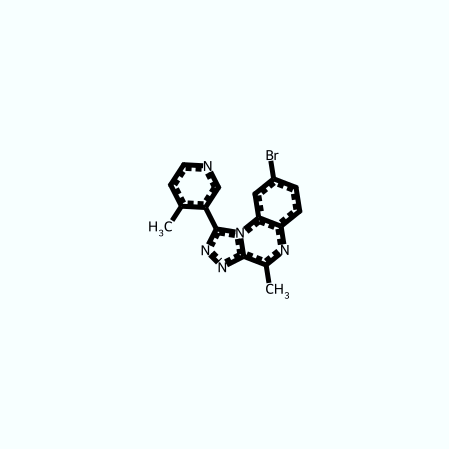 Cc1ccncc1-c1nnc2c(C)nc3ccc(Br)cc3n12